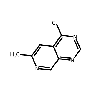 Cc1cc2c(Cl)ncnc2cn1